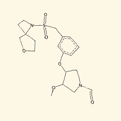 COC1CN(C=O)CC1Oc1cccc(CS(=O)(=O)N2CCC23CCOC3)c1